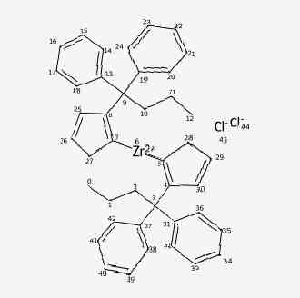 CCCC(C1=[C]([Zr+2][C]2=C(C(CCC)(c3ccccc3)c3ccccc3)C=CC2)CC=C1)(c1ccccc1)c1ccccc1.[Cl-].[Cl-]